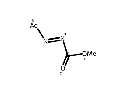 COC(=O)N=NC(C)=O